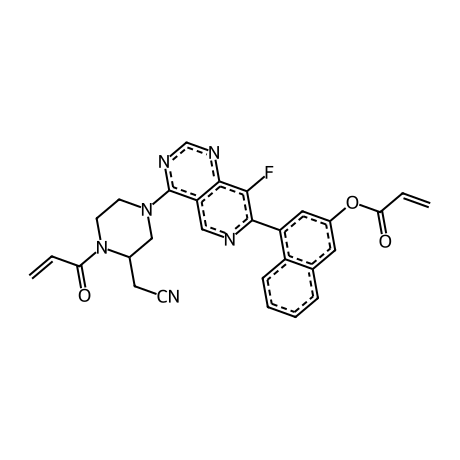 C=CC(=O)Oc1cc(-c2ncc3c(N4CCN(C(=O)C=C)C(CC#N)C4)ncnc3c2F)c2ccccc2c1